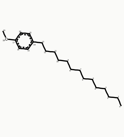 CCCCCCCCCCCCCCc1ccc(OC)cc1